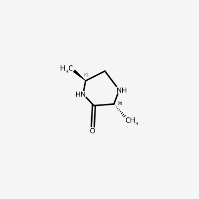 C[C@H]1CN[C@H](C)C(=O)N1